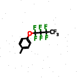 Cc1ccc(OC(F)(F)C(F)(F)C(F)(F)C(F)(F)F)cc1